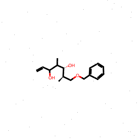 C=CC(O)C(C)[C@H](O)[C@H](C)COCc1ccccc1